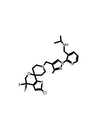 Cc1nn(-c2ncccc2CNC(C)C)cc1CN1CCC2(CC1)OCC(F)(F)c1cc(Cl)sc12